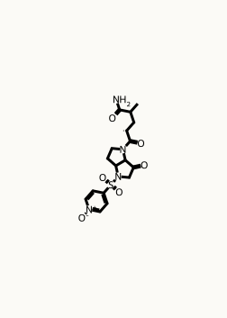 CC(C[CH]C(=O)N1CCC2C1C(=O)CN2S(=O)(=O)c1cc[n+]([O-])cc1)C(N)=O